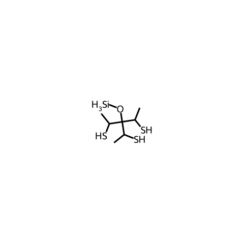 CC(S)C(O[SiH3])(C(C)S)C(C)S